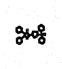 O=P(c1ccccc1)(c1ccccc1)c1ccc(-c2nc(-c3ccccc3)c(-c3ccccc3)[nH]2)cc1